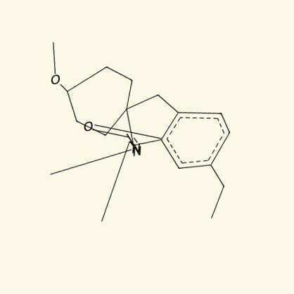 CCc1ccc2c(c1)C1(N=C(C)N(C)C1=O)C1(CCC(OC)CC1)C2